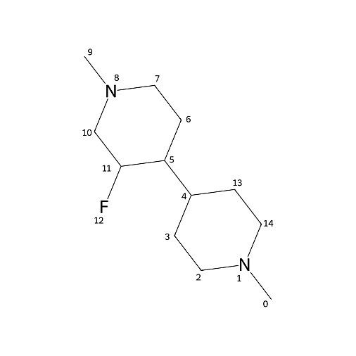 CN1CCC(C2CCN(C)CC2F)CC1